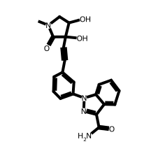 CN1CC(O)C(O)(C#Cc2cccc(-n3nc(C(N)=O)c4ccccc43)c2)C1=O